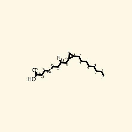 CCCCCCCCC1CC1CC(F)CCSCCC(=O)O